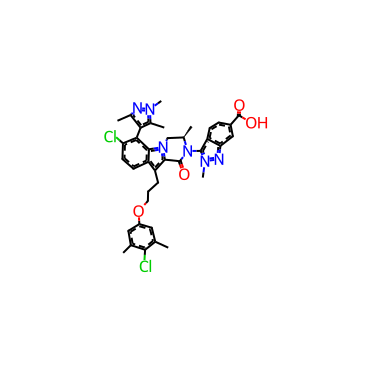 Cc1cc(OCCCc2c3n(c4c(-c5c(C)nn(C)c5C)c(Cl)ccc24)C[C@@H](C)N(c2c4ccc(C(=O)O)cc4nn2C)C3=O)cc(C)c1Cl